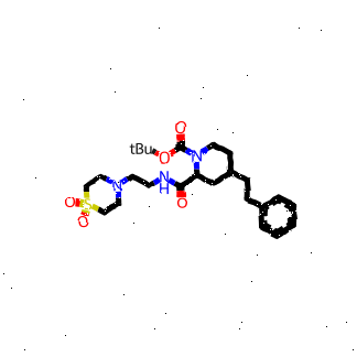 CC(C)(C)OC(=O)N1CCC(CCc2ccccc2)CC1C(=O)NCCN1CCS(=O)(=O)CC1